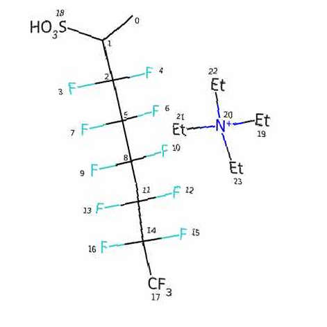 CC(C(F)(F)C(F)(F)C(F)(F)C(F)(F)C(F)(F)C(F)(F)F)S(=O)(=O)O.CC[N+](CC)(CC)CC